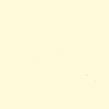 CC(C)(C)OC(=O)c1cn(C2CC2)c2cc(N3CCN(/N=N/O)CC3)c(F)cc2c1=O